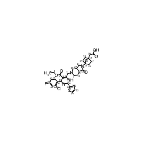 CCOC(=O)C1=C(CN2CCN3C(=O)N(C45CCC(CC(=O)O)(CC4)C5)CC3C2)NC(c2nccs2)=NC1c1ccc(F)cc1Cl